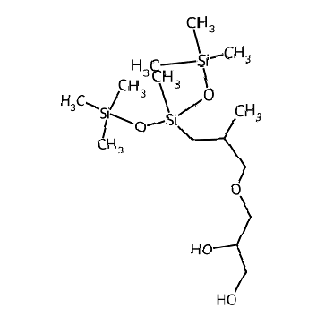 CC(COCC(O)CO)C[Si](C)(O[Si](C)(C)C)O[Si](C)(C)C